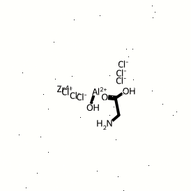 NCC(=O)O.[Cl-].[Cl-].[Cl-].[Cl-].[Cl-].[Cl-].[OH][Al+2].[Zr+4]